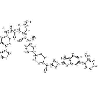 Cc1ncsc1-c1ccc([C@H](C)NC(=O)[C@@H]2C[C@@H](O)CN2C(=O)[C@@H](c2cc(N3CCC(C(=O)N4CC(c5cc6cc(-c7ccccc7O)nnc6[nH]5)C4)CC3)no2)C(C)C)cc1